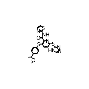 COC(C)c1ccc(Sc2ccc(Sc3nnc[nH]3)nc2C(=O)Nc2nccs2)cc1